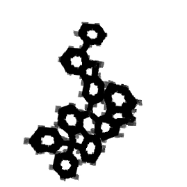 c1ccc(-c2cccc3c2oc2ccc(N(c4cccc5c4-c4ccccc4C5(c4ccccc4)c4ccccc4)c4cccc5oc6ccccc6c45)cc23)cc1